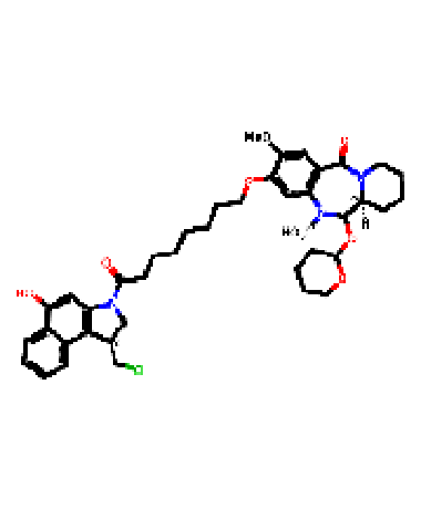 COc1cc2c(cc1OCCCCCCCC(=O)N1C[C@@H](CCl)c3c1cc(O)c1ccccc31)N(C(=O)O)C(OC1CCCCO1)[C@@H]1CCCCN1C2=O